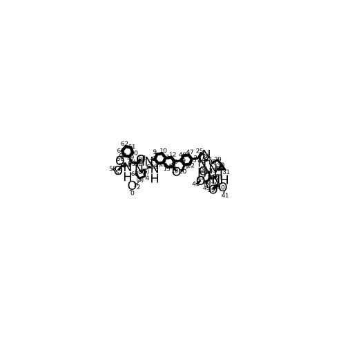 COC[C@H]1C[C@@H](C2Nc3ccc4cc5c(cc4c3N2)OCc2cc(-c3cnc([C@@H]4CC6C[C@H]6N4C(=O)[C@@H](NC(=O)OC)[C@@H](C)OC)[nH]3)ccc2-5)N(C(=O)[C@H](NC(=O)OC)c2ccccc2)C1